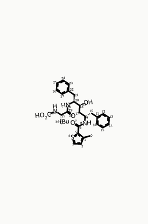 Cc1ccsc1C(=O)N[C@@H](Cc1ccccc1)C[C@H](O)[C@H](Cc1ccccc1)NC(=O)[C@@H](NC(=O)O)C(C)(C)C